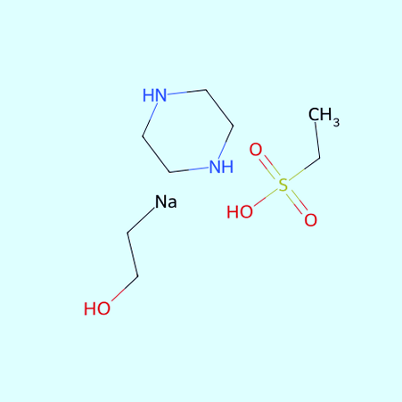 C1CNCCN1.CCS(=O)(=O)O.OC[CH2][Na]